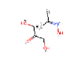 CCC(C)=NO.O=C(CO)CO